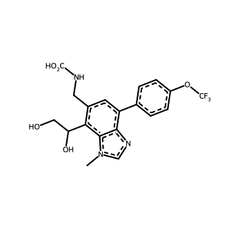 Cn1cnc2c(-c3ccc(OC(F)(F)F)cc3)cc(CNC(=O)O)c(C(O)CO)c21